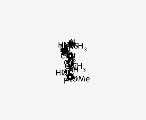 COc1cc(F)cc([C@@H](CO)NC(=O)[C@@H](C)N2Cc3ncc(-c4nc(Nc5cnn(C)n5)ncc4Cl)cc3C2=O)c1